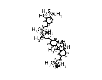 CN(C)C1CCC(CC[Si](C)(C)O[Si](C)(C)CCC2CCC([N+](C)(C)C3CC(CC[Si](C)(C)O)CCC3O)C(O)C2)CC1O